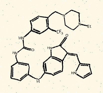 CCN1CCN(Cc2ccc(NC(=O)Nc3cccc(Nc4ccc5c(c4)NC(=O)C5=Cc4ccc[nH]4)c3)cc2C(F)(F)F)CC1